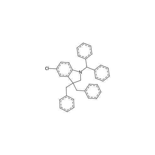 Clc1ccc2c(c1)C(Cc1ccccc1)(Cc1ccccc1)CN2C(c1ccccc1)c1ccccc1